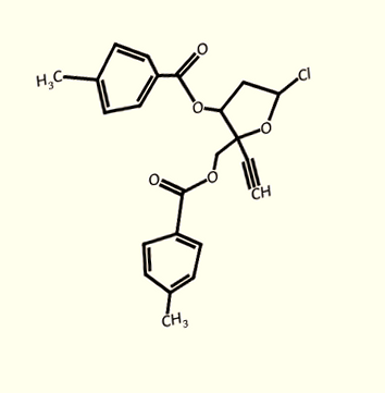 C#CC1(COC(=O)c2ccc(C)cc2)OC(Cl)CC1OC(=O)c1ccc(C)cc1